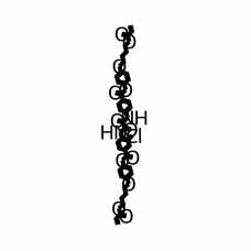 C=CC(=O)OCCCCOc1ccc(OC(=O)c2ccc(NC(=O)C(=O)Nc3ccc(C(=O)Oc4ccc(OCCCCOC(=O)C=C)cc4)cc3Cl)cc2)cc1